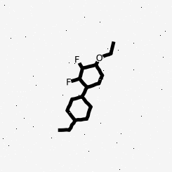 CCOC1CCC(C2CCC(CC)CC2)C(F)C1F